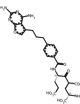 Nc1nc(N)c2c(CCCc3ccc(C(=O)N[C@@H](CCC(=O)O)C(=O)C(C[C@H](N)C(=O)O)C(=O)O)cc3)coc2n1